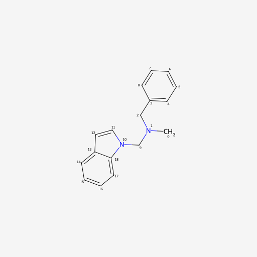 CN(Cc1ccccc1)Cn1ccc2c[c]ccc21